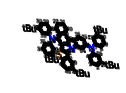 CC(C)(C)c1cccc(N(c2cccc(C(C)(C)C)c2)c2ccc3c4c5ccccc5c(N(c5cccc(C(C)(C)C)c5)c5cccc(C(C)(C)C)c5)c5c6sc7ccc(C(C)(C)C)cc7c6n(c3c2)c54)c1